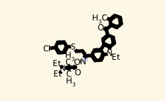 CCN(CC)C(C)(C)C(=O)O/N=C(\CCSc1ccc(Cl)cc1)c1ccc2c(c1)c1cc(C(=O)c3ccccc3C)ccc1n2CC